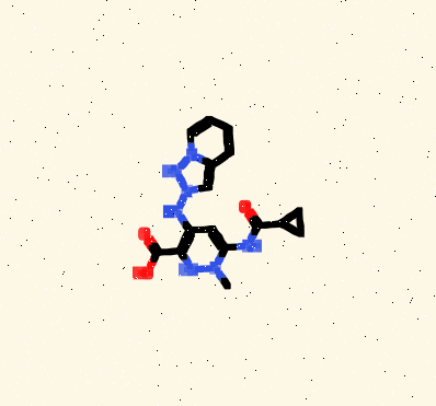 CN1NC(C(=O)O)=C(NN2C=C3C=CC=CN3N2)C=C1NC(=O)C1CC1